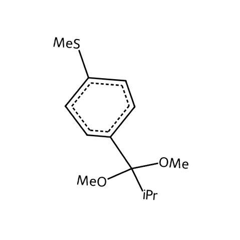 COC(OC)(c1ccc(SC)cc1)C(C)C